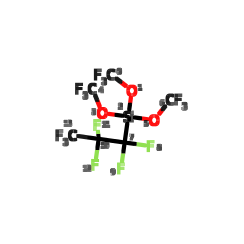 FC(F)(F)O[Si](OC(F)(F)F)(OC(F)(F)F)C(F)(F)C(F)(F)C(F)(F)F